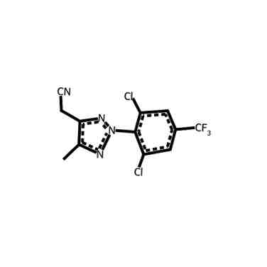 Cc1nn(-c2c(Cl)cc(C(F)(F)F)cc2Cl)nc1CC#N